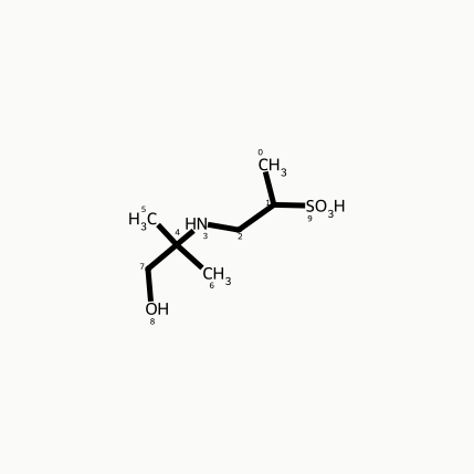 CC(CNC(C)(C)CO)S(=O)(=O)O